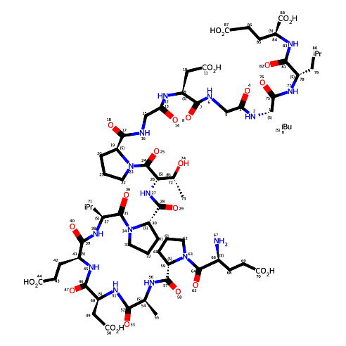 CC[C@H](C)[C@H](NC(=O)CNC(=O)[C@H](CC(=O)O)NC(=O)CNC(=O)[C@@H]1CCCN1C(=O)[C@@H](NC(=O)[C@@H]1CCCN1C(=O)[C@@H](NC(=O)[C@H](CCC(=O)O)NC(=O)[C@H](CC(=O)O)NC(=O)[C@H](C)NC(=O)[C@@H]1CCCN1C(=O)[C@@H](N)CCC(=O)O)C(C)C)[C@@H](C)O)C(=O)N[C@@H](CC(C)C)C(=O)N[C@@H](CCC(=O)O)C(=O)O